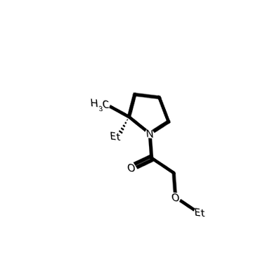 CCOCC(=O)N1CCC[C@@]1(C)CC